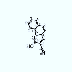 N#CC(=CC1C=Cc2ccccc2O1)C(=O)O